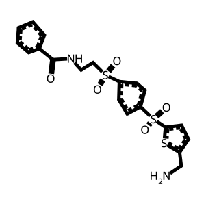 NCc1ccc(S(=O)(=O)c2ccc(S(=O)(=O)CCNC(=O)c3ccccc3)cc2)s1